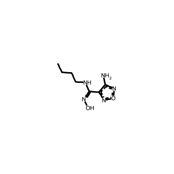 CCCCN/C(=N/O)c1nonc1N